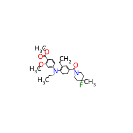 C=Cc1cc(C(=O)N2CCC(C)(F)CC2)ccc1N(CCC)c1ccc(C(=O)OC)c(OC)c1